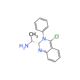 CC(N)[C@H]1N=c2ccccc2=C(Cl)N1c1ccccc1